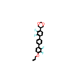 C=CCOc1ccc(-c2ccc(-c3ccc(C4COCOC4)c(F)c3F)cc2)c(F)c1F